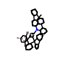 C[C@@H]1C[C@H]2CCC[C@@H](C1)C21c2ccccc2C2(c3ccccc3-c3ccccc32)c2cc(N(c3ccc4c(c3)C(C)(C)c3ccccc3-4)c3ccccc3-c3ccccc3)ccc21